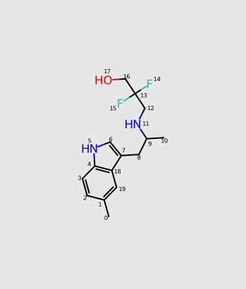 Cc1ccc2[nH]cc(CC(C)NCC(F)(F)CO)c2c1